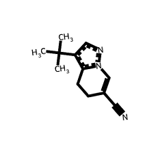 CC(C)(C)c1cnn2c1CCC(C#N)=C2